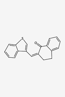 O=C1C(=Cc2csc3ccccc23)CCc2ccccc21